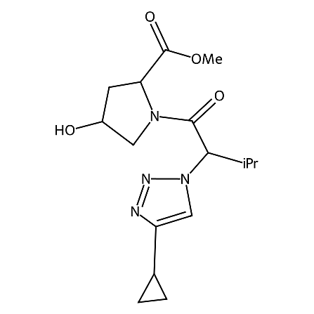 COC(=O)C1CC(O)CN1C(=O)C(C(C)C)n1cc(C2CC2)nn1